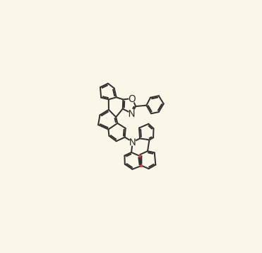 c1ccc(-c2nc3c(o2)c2ccccc2c2ccc4ccc(N(c5ccccc5)c5ccccc5-c5ccccc5)cc4c23)cc1